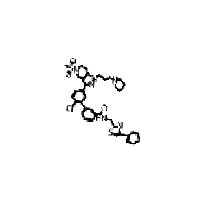 CS(=O)(=O)N1CCc2c(c(-c3ccc(Cl)c(-c4cccc(C(=O)NCc5nc(-c6ccccc6)cs5)c4)c3)nn2CCCN2CCCC2)C1